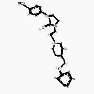 N#Cc1ccc(N2CCN(CCN3CCC(COc4ccccc4)CC3)C2=O)cc1